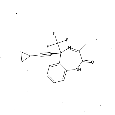 CC1=N[C@@](C#CC2CC2)(C(F)(F)F)c2ccccc2NC1=O